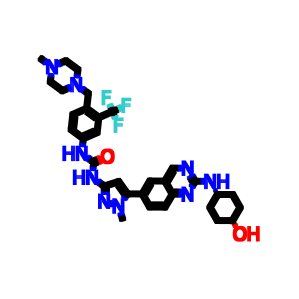 CN1CCN(Cc2ccc(NC(=O)Nc3cc(-c4ccc5nc(N[C@H]6CC[C@H](O)CC6)ncc5c4)n(C)n3)cc2C(F)(F)F)CC1